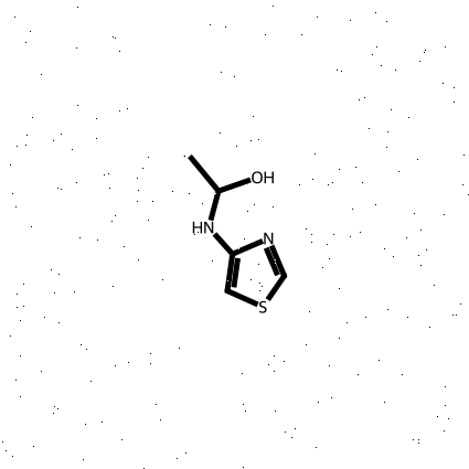 [CH2]C(O)Nc1cscn1